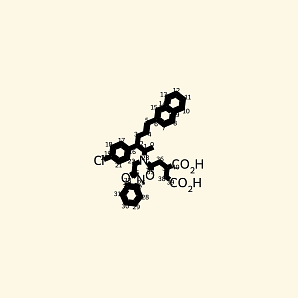 CC(C(C/C=C/c1ccc2ccccc2c1)c1ccc(Cl)cc1)N(Cc1nc2ccccc2o1)C(=O)CC(CC(=O)O)C(=O)O